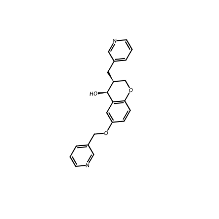 O[C@@H]1c2cc(OCc3cccnc3)ccc2OC[C@@H]1Cc1cccnc1